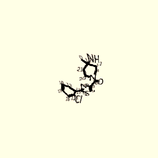 CC1(N)CCN(C(=O)c2csc(-c3ccccc3Cl)n2)CC1